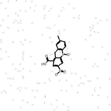 Cc1ccc2c(c1)Cc1c(C(=O)O)cc([N+](=O)[O-])cc1[S+]2[O-]